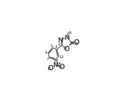 Cn1nc(-c2cccc([N+](=O)[O-])c2)oc1=O